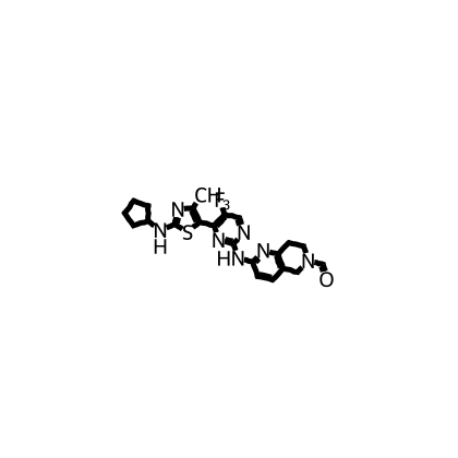 Cc1nc(NC2CCCC2)sc1-c1nc(Nc2ccc3c(n2)CCN(C=O)C3)ncc1F